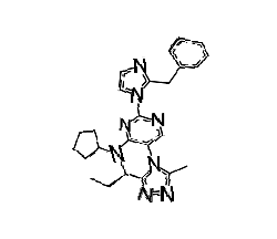 CC[C@@H]1c2nnc(C)n2-c2cnc(-n3ccnc3Cc3ccccc3)nc2N1C1CCCC1